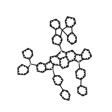 c1ccc(-c2ccc(-n3c4ccccc4c4cc5c6c(ccc7c6c(cc6c8cc(N(c9ccccc9)c9ccccc9)ccc8n(-c8ccc(-c9ccccc9)cc8)c67)n5-c5ccc6c(c5)C5(c7ccccc7-c7ccccc75)c5ccccc5-6)c43)cc2)cc1